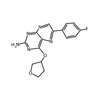 Nc1nc(OC2CCOC2)c2nc(-c3ccc(F)cc3)cnc2n1